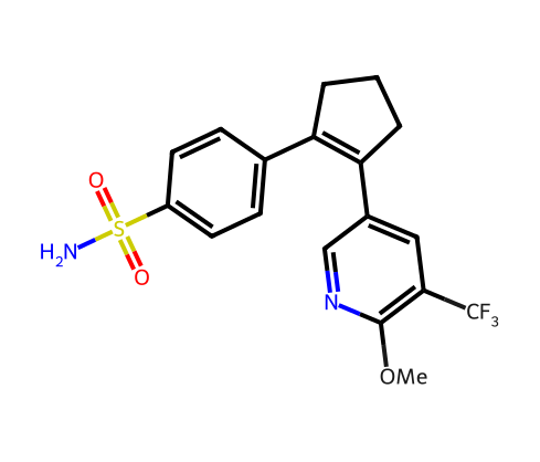 COc1ncc(C2=C(c3ccc(S(N)(=O)=O)cc3)CCC2)cc1C(F)(F)F